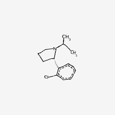 CC(C)N1CCC[C@H]1c1ccccc1Cl